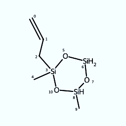 C=CC[Si]1(C)O[SiH2]O[SiH](C)O1